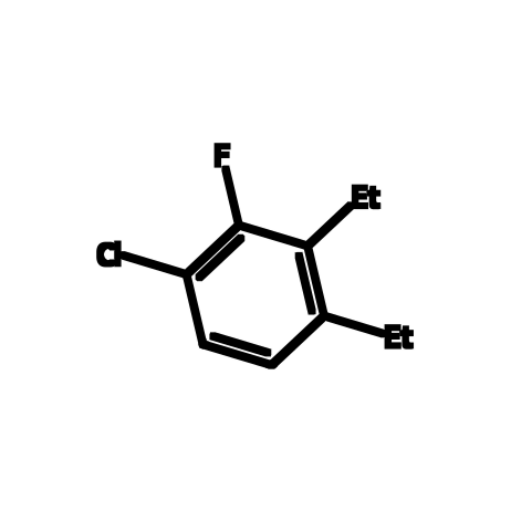 CCc1ccc(Cl)c(F)c1CC